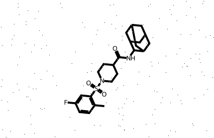 Cc1ccc(F)cc1S(=O)(=O)N1CCC(C(=O)NC2C3CC4CC(C3)CC2C4)CC1